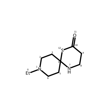 CCN1CCC2(CC1)NCCC(=O)S2